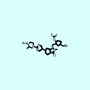 CC(=O)N1CCN(c2ncc(-c3ccc4c(=O)n(C)n(Cc5cc(CBr)ccc5OC(F)F)c4c3)cn2)CC1C